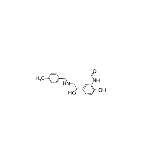 Cc1ccc(CNCC(O)c2ccc(O)c(NC=O)c2)cc1